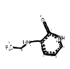 O=c1[nH]cccc1NCC(F)(F)F